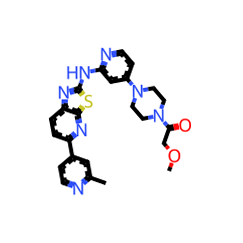 COCC(=O)N1CCN(c2ccnc(Nc3nc4ccc(-c5ccnc(C)c5)nc4s3)c2)CC1